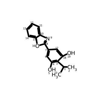 CC(C)c1c(O)cc(-c2nc3ccccc3o2)cc1O